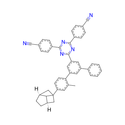 Cc1cc(C23C[C@H]4CC[C@@H](C2)C43)ccc1-c1cc(-c2ccccc2)cc(-c2nc(-c3ccc(C#N)cc3)nc(-c3ccc(C#N)cc3)n2)c1